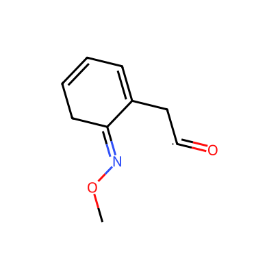 CON=C1CC=CC=C1C[C]=O